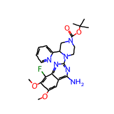 COc1cc2c(N)nc(N3CCN(C(=O)OC(C)(C)C)CC3c3ccccn3)nc2c(F)c1OC